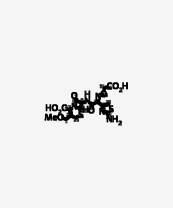 COCC1=C(C(=O)O)N2C(=O)C(NC(=O)C(=NOCC(=O)O)c3csc(N)n3)[C@@H]2SC1